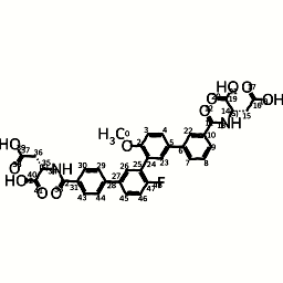 COc1ccc(-c2cccc(C(=O)N[C@@H](CC(=O)O)C(=O)O)c2)cc1-c1cc(-c2ccc(C(=O)N[C@@H](CC(=O)O)C(=O)O)cc2)ccc1F